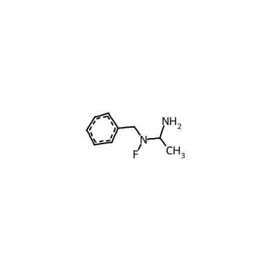 CC(N)N(F)Cc1ccccc1